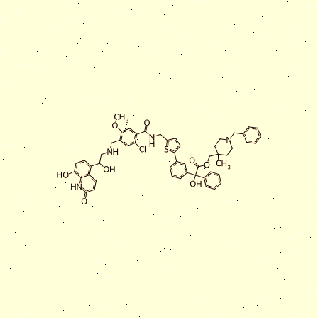 COc1cc(C(=O)NCc2ccc(-c3cccc(C(O)(C(=O)OCC4(C)CCN(Cc5ccccc5)CC4)c4ccccc4)c3)s2)c(Cl)cc1CNCC(O)c1ccc(O)c2[nH]c(=O)ccc12